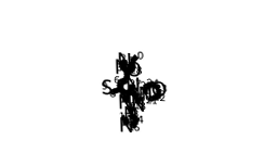 Cc1nnc(-c2cc(C=S)c3nc(-n4ccnc4)nc(N4CCOCC4)c3n2)o1